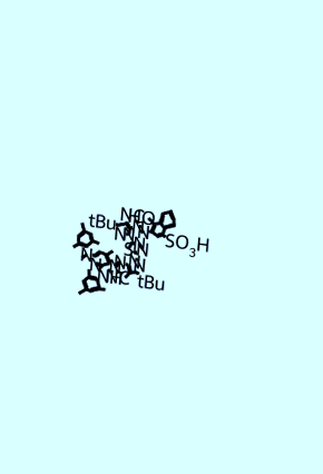 [C-]#[N+]c1c(C(C)(C)C)nn(-c2nnc(-n3nc(C(C)(C)C)c(C#N)c3N=Nc3c(C)cc(N(C)c4c(C)cc(C)cc4C)nc3Nc3c(C)cc(C)cc3C)s2)c1N=Nc1cc(S(=O)(=O)O)c2ccccc2c1O